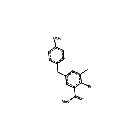 COC(=O)c1cc(Cc2ccc(OC)cc2)cc(F)c1Br